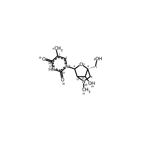 Cc1cn(C2O[C@@]3(CO)CN(C)C2C3O)c(=O)[nH]c1=O